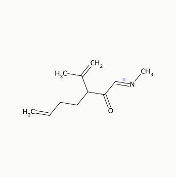 C=CCCC(C(=C)C)C(=O)/C=N/C